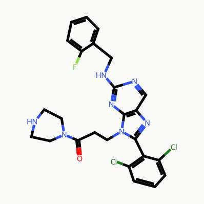 O=C(CCn1c(-c2c(Cl)cccc2Cl)nc2cnc(NCc3ccccc3F)nc21)N1CCNCC1